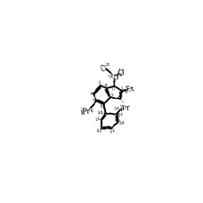 CCC1=Cc2c(ccc(C(C)C)c2-c2ccccc2C(C)C)[CH]1[Zr]([Cl])[Cl]